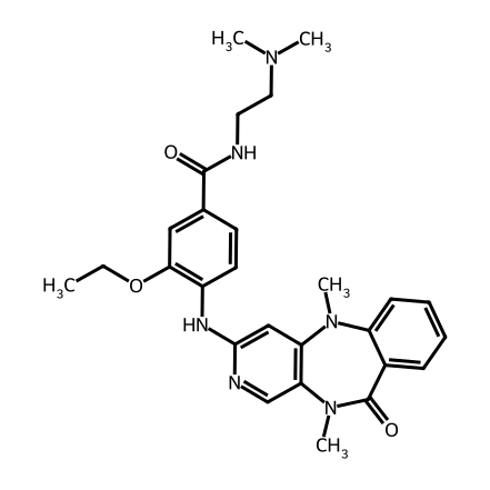 CCOc1cc(C(=O)NCCN(C)C)ccc1Nc1cc2c(cn1)N(C)C(=O)c1ccccc1N2C